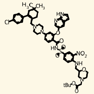 CC1(C)CCC(CN2CCN(c3ccc(C(=O)NS(=O)(=O)c4ccc(NCC5CN(CC(=O)OC(C)(C)C)CCO5)c([N+](=O)[O-])c4)c(Oc4cnc5[nH]ccc5c4)c3)CC2)=C(c2ccc(Cl)cc2)C1